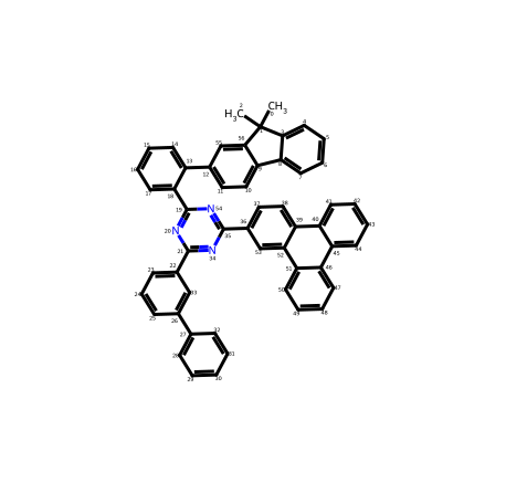 CC1(C)c2ccccc2-c2ccc(-c3ccccc3-c3nc(-c4cccc(-c5ccccc5)c4)nc(-c4ccc5c6ccccc6c6ccccc6c5c4)n3)cc21